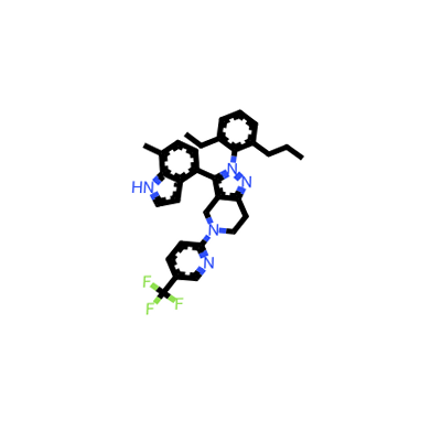 CCCc1cccc(CC)c1-n1nc2c(c1-c1ccc(C)c3[nH]ccc13)CN(c1ccc(C(F)(F)F)cn1)CC2